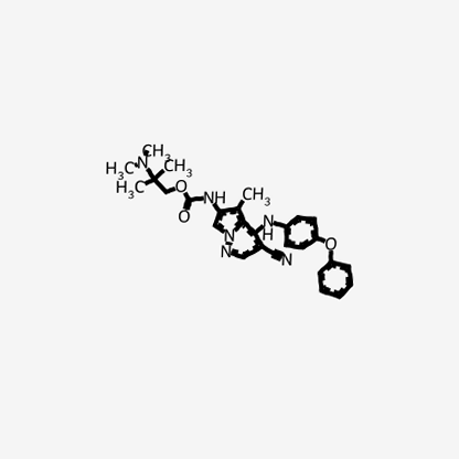 Cc1c(NC(=O)OCC(C)(C)N(C)C)cn2ncc(C#N)c(Nc3ccc(Oc4ccccc4)cc3)c12